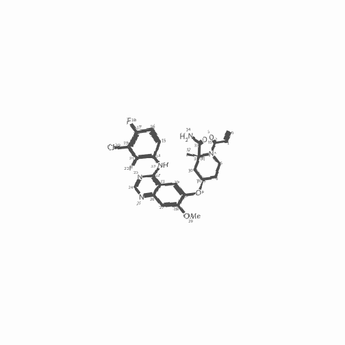 C=CC(=O)N1CC[C@@H](Oc2cc3c(Nc4ccc(F)c(Cl)c4F)ncnc3cc2OC)C[C@]1(C)C(N)=O